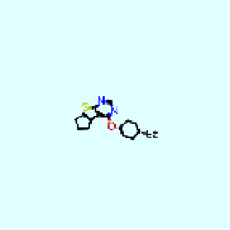 CC[C@H]1CC[C@H](Oc2ncnc3sc4c(c23)CCC4)CC1